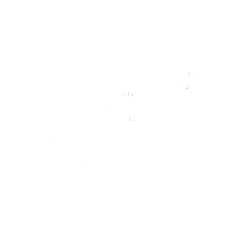 c1cc2[nH]ncc2cc1Nc1ncc(-c2ccc3c(c2)OCCCO3)o1